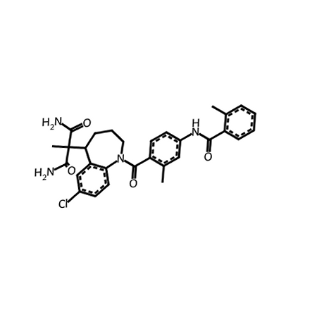 Cc1ccccc1C(=O)Nc1ccc(C(=O)N2CCCC(C(C)(C(N)=O)C(N)=O)c3cc(Cl)ccc32)c(C)c1